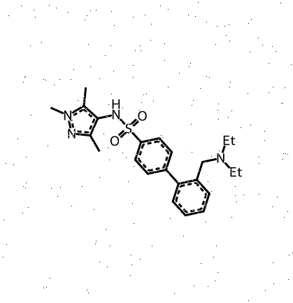 CCN(CC)Cc1ccccc1-c1ccc(S(=O)(=O)Nc2c(C)nn(C)c2C)cc1